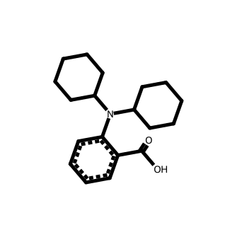 O=C(O)c1ccccc1N(C1CCCCC1)C1CCCCC1